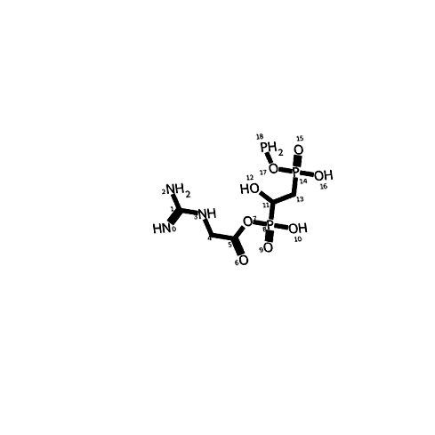 N=C(N)NCC(=O)OP(=O)(O)C(O)CP(=O)(O)OP